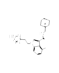 O=C(NCC12CCC(CC1)CC2)c1cn(CCc2nn[nH]n2)c2cccc(Cl)c12